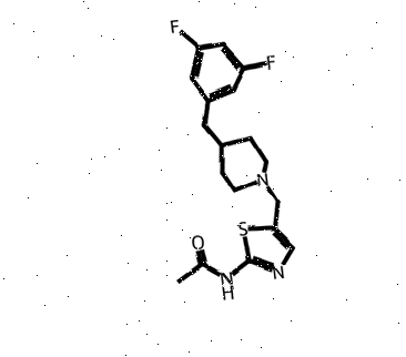 CC(=O)Nc1ncc(CN2CCC(Cc3cc(F)cc(F)c3)CC2)s1